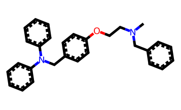 CN(CCOc1ccc(CN(c2ccccc2)c2ccccc2)cc1)Cc1ccccc1